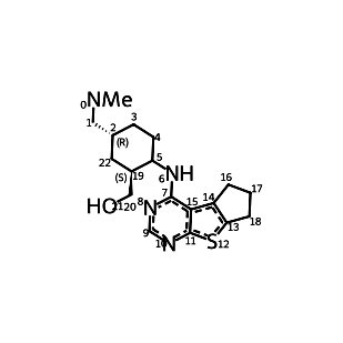 CNC[C@@H]1CCC(Nc2ncnc3sc4c(c23)CCC4)[C@@H](CO)C1